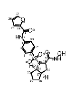 O=C(Nc1ccc(S(=O)(=O)N2C(C(=O)NO)C[C@H]3CCC[C@H]32)cc1)c1ccco1